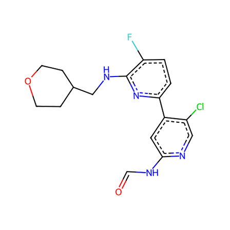 O=CNc1cc(-c2ccc(F)c(NCC3CCOCC3)n2)c(Cl)cn1